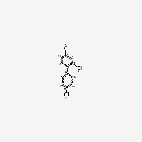 Clc1[c]c(Cl)c(-c2ccc(Cl)cc2)cc1